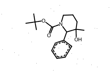 CC(C)(C)OC(=O)N1CCCC(C)(O)C1c1ccccc1